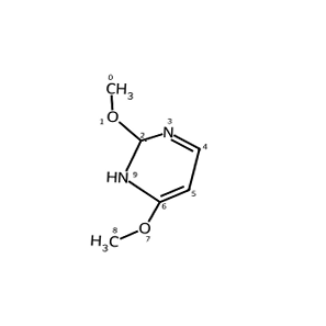 CO[C]1N=CC=C(OC)N1